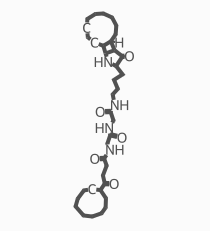 O=C(CCC(=O)C1CCCCCCCCC1)NCC(=O)NCC(=O)NCCCCC1NC2C3CCCCCCCCC[C@@H]3C2C1=O